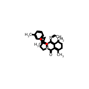 C=C1CCC(C)=C(C(=O)N2CCC(c3cccc(C)c3)C2)/C1=C(/N=C\C)NC1(C)CC1